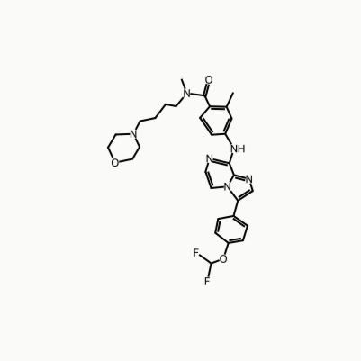 Cc1cc(Nc2nccn3c(-c4ccc(OC(F)F)cc4)cnc23)ccc1C(=O)N(C)CCCCN1CCOCC1